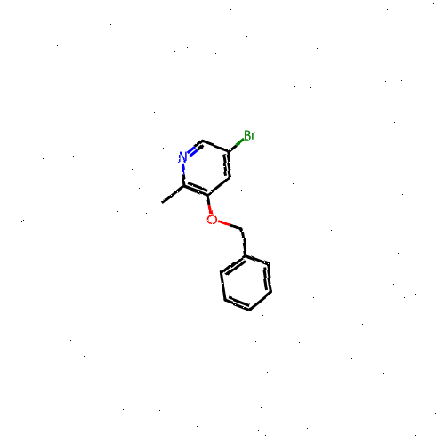 Cc1ncc(Br)cc1OCc1ccccc1